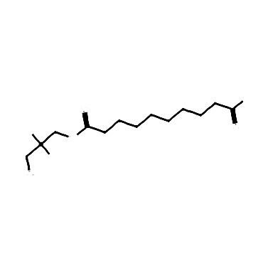 CC(C)(CO)COC(=O)CCCCCCCCC(=O)O